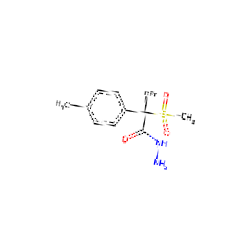 CCCC(C(=O)NN)(c1ccc(C)cc1)S(C)(=O)=O